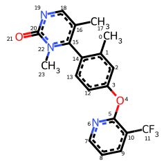 Cc1cc(Oc2ncccc2C(F)(F)F)ccc1-c1c(C)cnc(=O)n1C